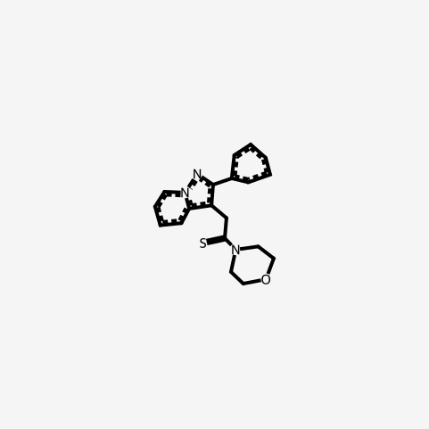 S=C(Cc1c(-c2ccccc2)nn2ccccc12)N1CCOCC1